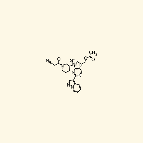 CC(=O)OCN1C[N@@+]([O-])(C2CCCN(C(=O)CC#N)C2)c2nc(-c3cnn4ccccc34)ncc21